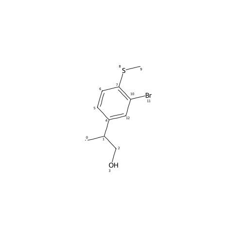 [CH2]C(CO)c1ccc(SC)c(Br)c1